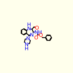 O=CC1Nc2ccccc2C(N2CCNCC2)=NC1NC(=O)OCc1ccccc1